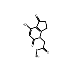 CC(C)(C)OC(=O)Cn1c2c(c(O)cc1=O)C(=O)CC2